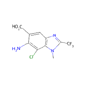 Cn1c(C(F)(F)F)nc2cc(C(=O)O)c(N)c(Cl)c21